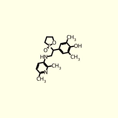 Cc1ccc(NCC(c2cc(C)c(O)c(C)c2)P2(=O)CCCO2)c(C)n1